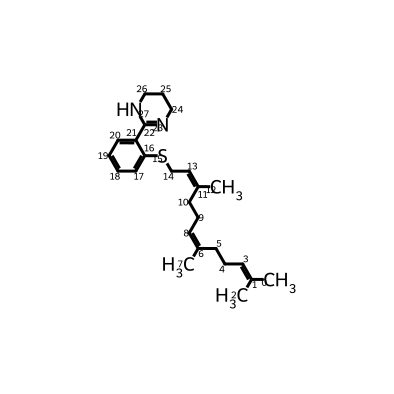 CC(C)=CCCC(C)=CCCC(C)=CCSc1ccccc1C1=NCCCN1